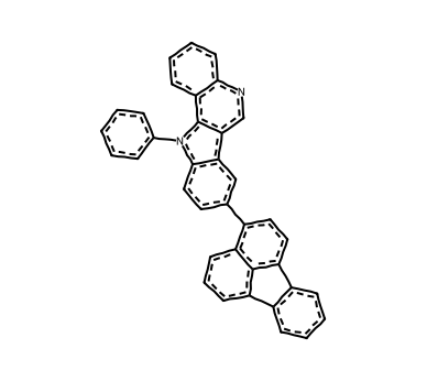 c1ccc(-n2c3ccc(-c4ccc5c6c(cccc46)-c4ccccc4-5)cc3c3cnc4ccccc4c32)cc1